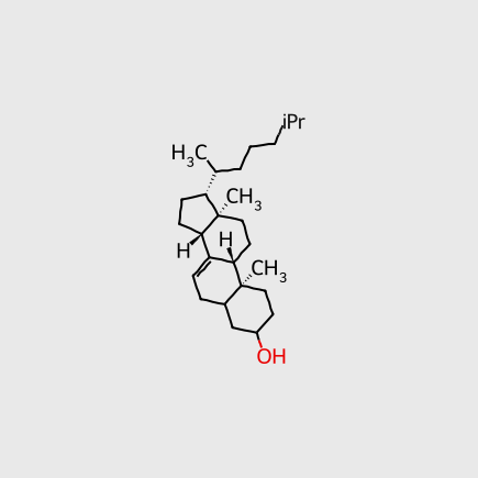 CC(C)CCCC(C)[C@H]1CC[C@H]2C3=CCC4CC(O)CC[C@]4(C)[C@H]3CC[C@]12C